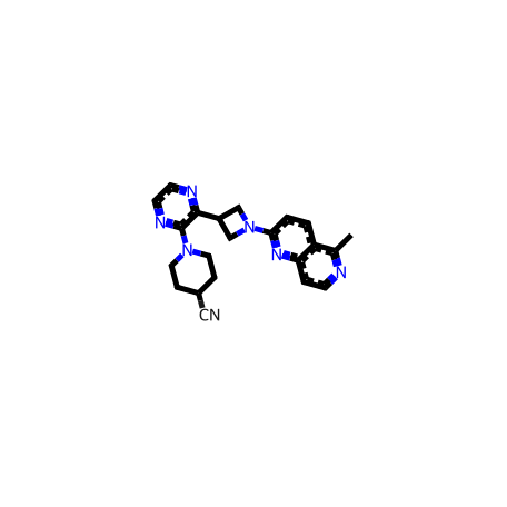 Cc1nccc2nc(N3CC(c4nccnc4N4CCC(C#N)CC4)C3)ccc12